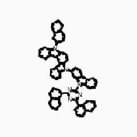 c1ccc2cc(-n3c4ccccc4c4c5c6ccccc6n(-c6ccc7c8ccccc8n(-c8nc(-c9cccc%10ccccc9%10)nc(-c9cccc%10ccccc9%10)n8)c7c6)c5ccc43)ccc2c1